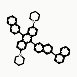 c1ccc2cc(-c3c4ccc(N5CCCCC5)cc4c(-c4ccc5cc(-c6cccc7ccccc67)ccc5c4)c4ccc(N5CCCCC5)cc34)ccc2c1